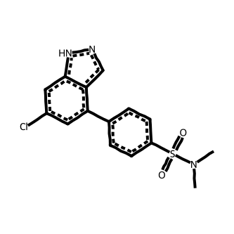 CN(C)S(=O)(=O)c1ccc(-c2cc(Cl)cc3[nH]ncc23)cc1